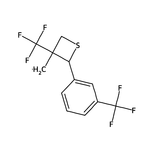 [CH2]C1(C(F)(F)F)CSC1c1cccc(C(F)(F)F)c1